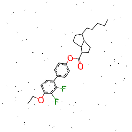 CCCCCC1CCC2C(C(=O)Oc3ccc(-c4ccc(OCC)c(F)c4F)cc3)CCC12